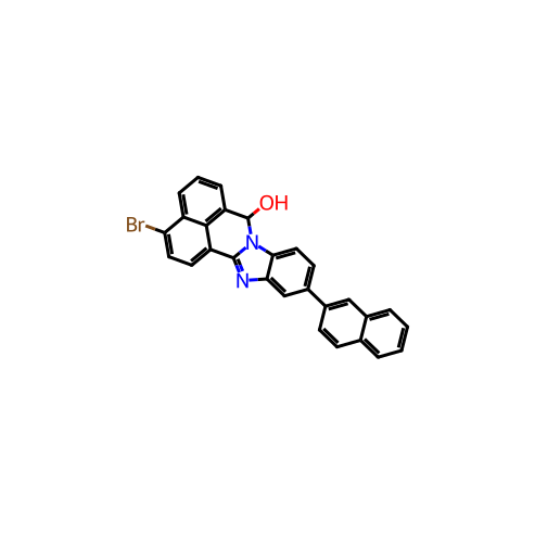 OC1c2cccc3c(Br)ccc(c23)-c2nc3cc(-c4ccc5ccccc5c4)ccc3n21